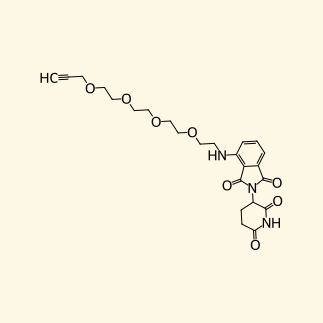 C#CCOCCOCCOCCOCCNc1cccc2c1C(=O)N(C1CCC(=O)NC1=O)C2=O